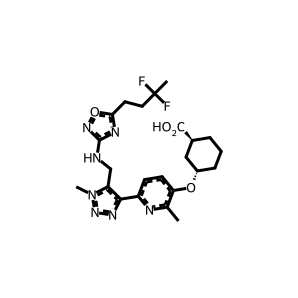 Cc1nc(-c2nnn(C)c2CNc2noc(CCC(C)(F)F)n2)ccc1O[C@H]1CCC[C@H](C(=O)O)C1